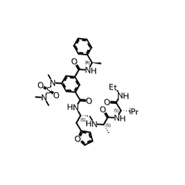 CCNC(=O)[C@@H](NC(=O)[C@H](C)NC[C@H](Cc1ccco1)NC(=O)c1cc(C(=O)N[C@H](C)c2ccccc2)cc(N(C)S(=O)(=O)N(C)C)c1)C(C)C